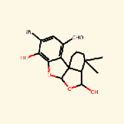 CC(C)c1cc(C=O)c2c(c1O)OC1OC(O)C3C(C)(C)CCCC213